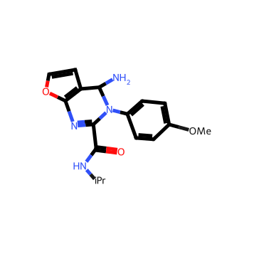 COc1ccc(N2C(C(=O)NC(C)C)=Nc3occc3C2N)cc1